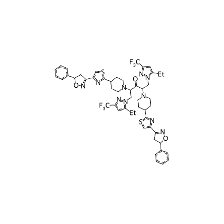 CCc1cc(C(F)(F)F)nn1CC(C(=O)C(Cn1nc(C(F)(F)F)cc1CC)N1CCC(c2nc(C3=NOC(c4ccccc4)C3)cs2)CC1)N1CCC(c2nc(C3=NOC(c4ccccc4)C3)cs2)CC1